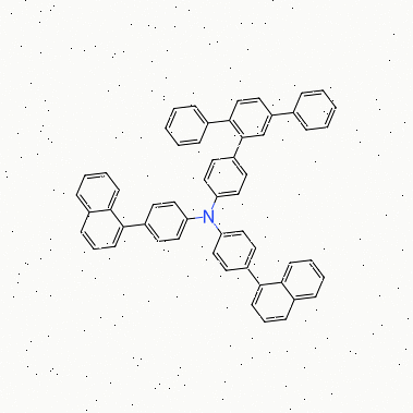 c1ccc(-c2ccc(-c3ccccc3)c(-c3ccc(N(c4ccc(-c5cccc6ccccc56)cc4)c4ccc(-c5cccc6ccccc56)cc4)cc3)c2)cc1